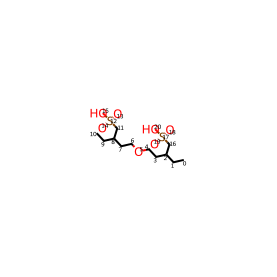 CCC(CCOCCC(CC)CS(=O)(=O)O)CS(=O)(=O)O